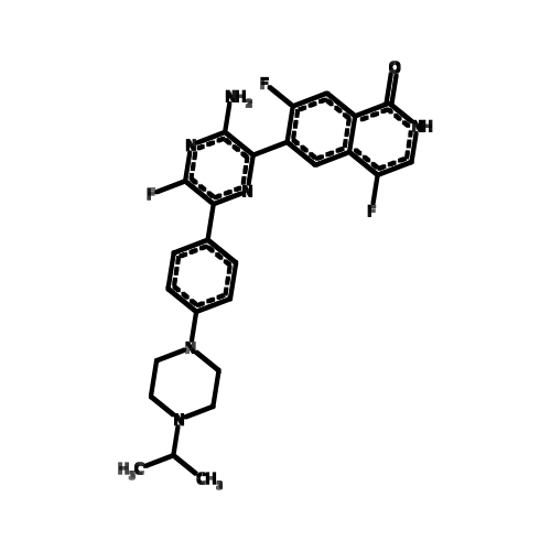 CC(C)N1CCN(c2ccc(-c3nc(-c4cc5c(F)c[nH]c(=O)c5cc4F)c(N)nc3F)cc2)CC1